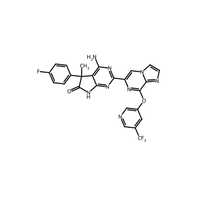 CC1(c2ccc(F)cc2)C(=O)Nc2nc(-c3cn4ccnc4c(Oc4cncc(C(F)(F)F)c4)n3)nc(N)c21